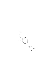 CC(C)(C)CC1Cc2cc(B3OC(C)(C)C(C)(C)O3)ccc21